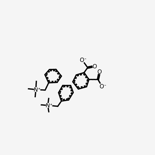 C[N+](C)(C)Cc1ccccc1.C[N+](C)(C)Cc1ccccc1.O=C([O-])c1ccccc1C(=O)[O-]